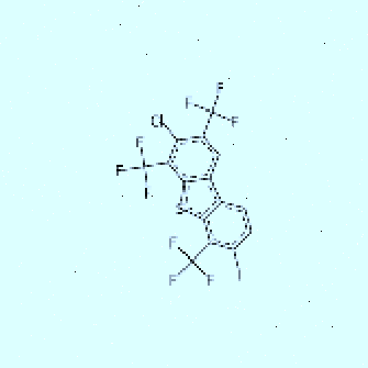 FC(F)(F)c1cc2c(sc3c(C(F)(F)F)c(I)ccc32)c(C(F)(F)F)c1Cl